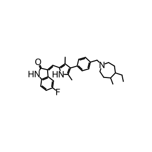 CCC1CCN(Cc2ccc(-c3c(C)[nH]c(/C=C4/C(=O)Nc5ccc(F)cc54)c3C)cc2)CCC1C